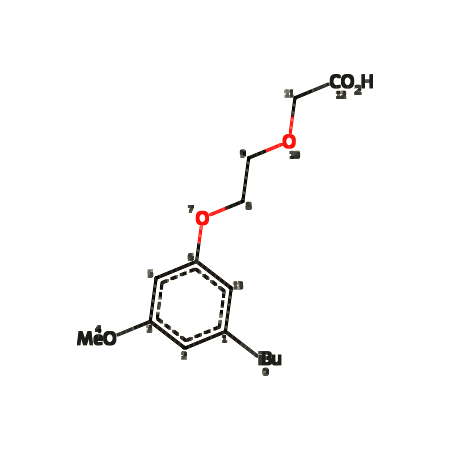 CCC(C)c1cc(OC)cc(OCCOCC(=O)O)c1